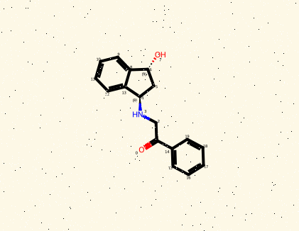 O=C(CN[C@@H]1C[C@@H](O)c2ccccc21)c1ccccc1